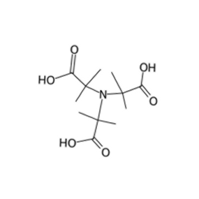 CC(C)(C(=O)O)N(C(C)(C)C(=O)O)C(C)(C)C(=O)O